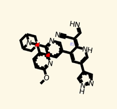 COc1ccc(CN2C3CC2CN(c2ccc(C4=CC(c5cn[nH]c5)=CN/C4=C(/C#N)C=N)cn2)C3)cn1